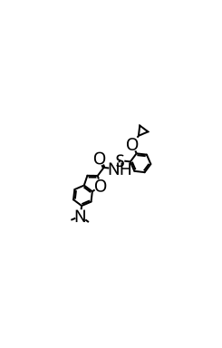 CN(C)c1ccc2cc(C(=O)NSc3ccccc3OC3CC3)oc2c1